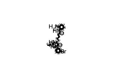 CCOC(=O)N[C@@H](CCCCC(=O)Nc1ccccc1N)C(=O)Nc1cccc(Br)c1